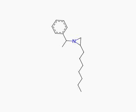 CCCCCCCC1CN1C(C)c1ccccc1